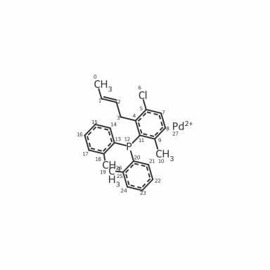 CC=CCc1c(Cl)ccc(C)c1P(c1ccccc1C)c1ccccc1C.[Pd+2]